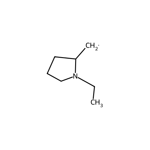 [CH2]C1CCCN1CC